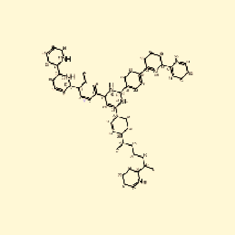 C=C(/C=C\C(CC)[C@H]1C=CCC(C2CC=CCN2)N1)C1C=C(C2C=CC(C(C)CCCC(C)C3CCCC=N3)CC2)N[C@H](C2=CC=C(C3=NC(C4=CCCC=N4)CCC3)CC2)N1